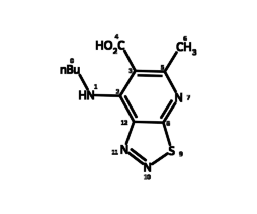 CCCCNc1c(C(=O)O)c(C)nc2snnc12